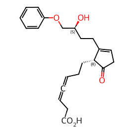 O=C(O)CC=C=CCC[C@H]1C(=O)CC=C1CC[C@H](O)COc1ccccc1